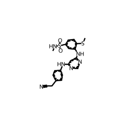 CNS(=O)(=O)c1ccc(SC)c(Nc2cc(Nc3ccc(CC#N)cc3)ncn2)c1